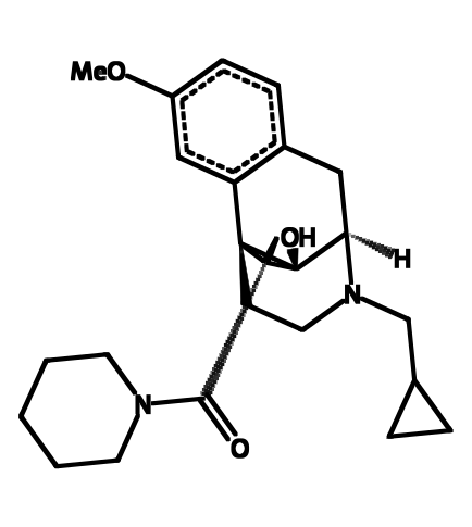 COc1ccc2c(c1)[C@]13CCN(CC4CC4)[C@H](C2)[C@]1(O)C[C@@H](C(=O)N1CCCCC1)C3